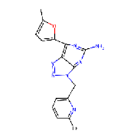 CCc1cccc(Cn2nnc3c(-c4ccc(C)o4)nc(N)nc32)n1